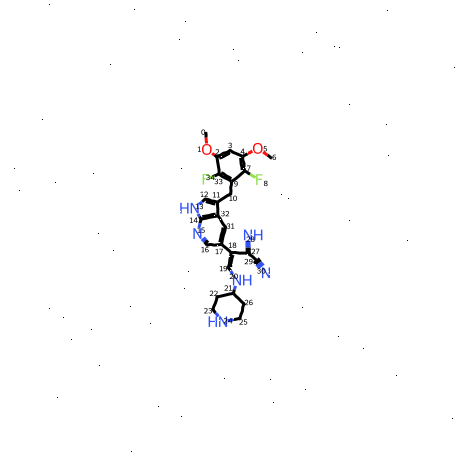 COc1cc(OC)c(F)c(Cc2c[nH]c3ncc(/C(=C/NC4CCNCC4)C(=N)C#N)cc23)c1F